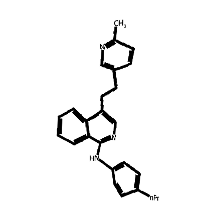 CCCc1ccc(Nc2ncc(CCc3ccc(C)nc3)c3ccccc23)cc1